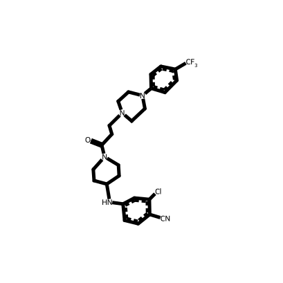 N#Cc1ccc(NC2CCN(C(=O)CCN3CCN(c4ccc(C(F)(F)F)cc4)CC3)CC2)cc1Cl